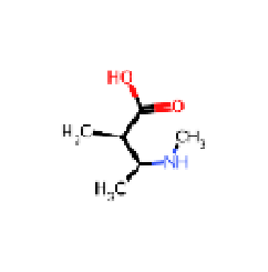 CN[C@@H](C)[C@@H](C)C(=O)O